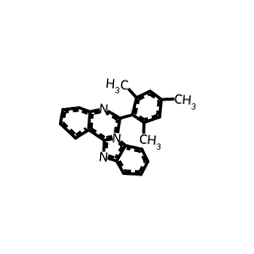 Cc1cc(C)c(-c2nc3ccccc3c3nc4ccccc4n23)c(C)c1